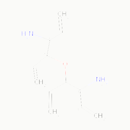 C=CC(N)C(C=C)OC(C=C)C(N)C=C